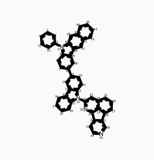 c1ccc(-n2c3ccc(-c4ccc5c(c4)c4ccccc4n5-c4cc5cccc6c5c(n4)-c4ccncc4-6)cc3c3cc4ccccc4cc32)cc1